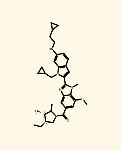 CC[C@@H]1CN(C(=O)c2cc(OC)c3c(c2)nc(-c2cc4ccc(NCCC5CC5)cc4n2CC2CC2)n3C)C(C)[C@H]1N